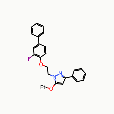 CCOc1cc(-c2ccccc2)nn1CCOc1ccc(-c2ccccc2)cc1I